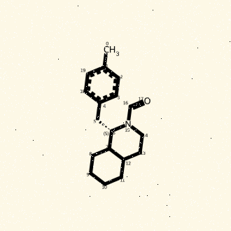 Cc1ccc(C[C@H]2C3CCCCC3CCN2C=O)cc1